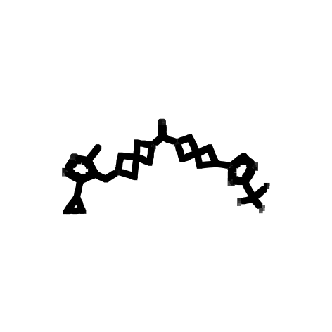 Cc1onc(C2CC2)c1CN1CC2(C1)CN(C(=O)N1CC3(CC(n4cnc(C(F)(F)F)n4)C3)C1)C2